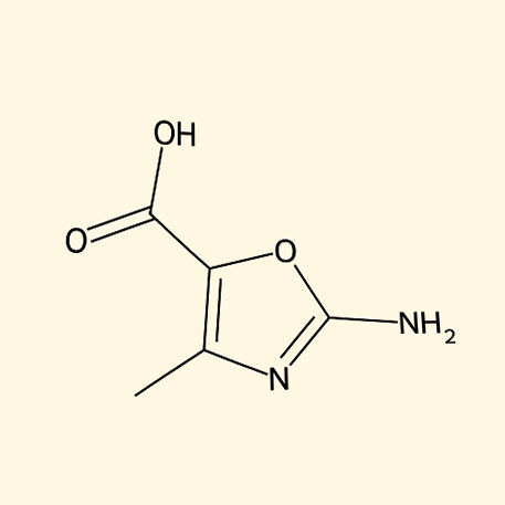 Cc1nc(N)oc1C(=O)O